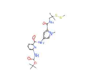 CSSC(C)(C)CNC(=O)c1cc(NC(=O)c2cccc(NC(=O)OC(C)(C)C)n2)cn1C